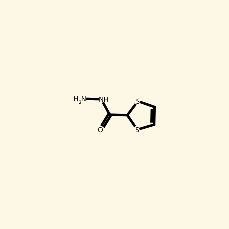 NNC(=O)C1SC=CS1